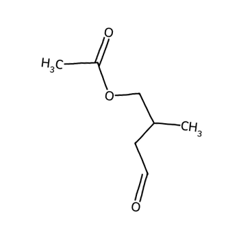 CC(=O)OCC(C)CC=O